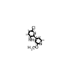 COc1cc(-c2nc(Cl)ccc2N)ccn1